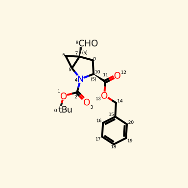 CC(C)(C)OC(=O)N1C2C[C@]2(C=O)C[C@H]1C(=O)OCc1ccccc1